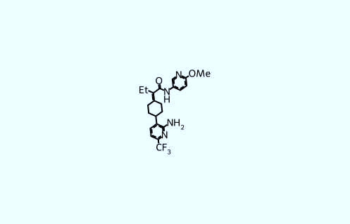 CCC(C(=O)Nc1ccc(OC)nc1)=C1CCC(c2ccc(C(F)(F)F)nc2N)CC1